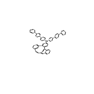 c1ccc(-c2ccc(-c3ccc(N(c4ccc(-c5ccc(-c6ccccc6)cc5)cc4)c4ccc5c(c4)c4cccc(ccc6cc7ccccc7c5c6)c4)cc3)cc2)cc1